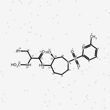 Cc1cccc(S(=O)(=O)N2CCCC(NC(=O)C(CC(C)C)NC(=O)O)[C@@H](O)C2)n1